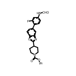 CC(C)OC(=O)N1CCC(c2nc3cc(-c4ccc(NC=O)cc4F)ccc3o2)CC1